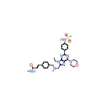 CCn1c(CN(C)Cc2ccc(/C=C/C(=O)NC)cc2)nc2c(N3CCOCC3)nc(-c3ccc(NS(C)(=O)=O)cc3)nc21